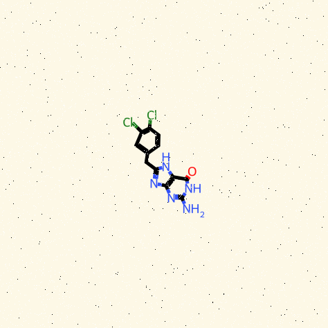 Nc1nc2nc(Cc3ccc(Cl)c(Cl)c3)[nH]c2c(=O)[nH]1